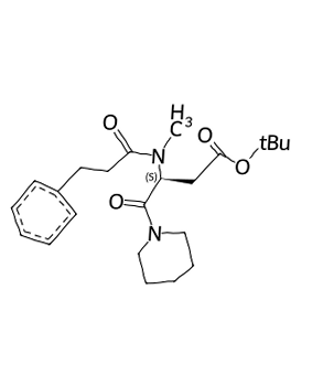 CN(C(=O)CCc1ccccc1)[C@@H](CC(=O)OC(C)(C)C)C(=O)N1CCCCC1